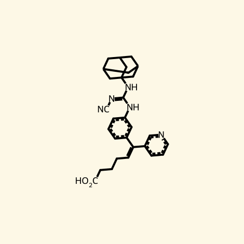 N#CN=C(Nc1cccc(/C(=C\CCCC(=O)O)c2cccnc2)c1)NC12CC3CC(CC(C3)C1)C2